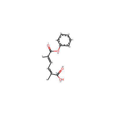 CC(=CC=C(C)C(=O)Oc1ccccc1)C(=O)O